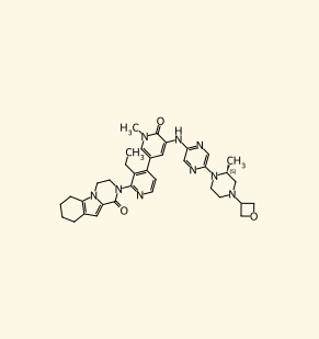 CCc1c(-c2cc(Nc3cnc(N4CCN(C5COC5)C[C@@H]4C)cn3)c(=O)n(C)c2)ccnc1N1CCn2c(cc3c2CCCC3)C1=O